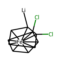 [Li][C]12[CH]3[CH]4[CH]5[C]1(Cl)[Fe]43521678[CH]2[CH]1[CH]6[C]7(Cl)[CH]28